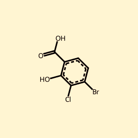 O=C(O)c1ccc(Br)c(Cl)c1O